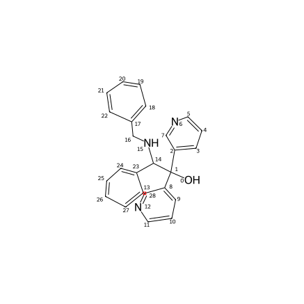 OC(c1cccnc1)(c1cccnc1)C(NCc1ccccc1)c1ccccc1